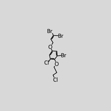 ClCCCOc1c(Cl)cc(OCC=C(Br)Br)cc1Br